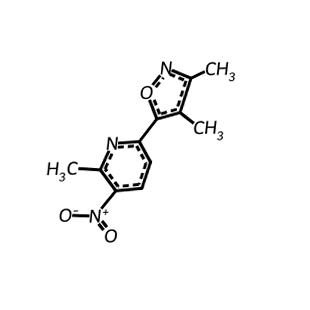 Cc1nc(-c2onc(C)c2C)ccc1[N+](=O)[O-]